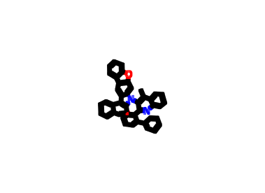 Cc1c(-n2c3cc4oc5ccccc5c4cc3c3c4ccccc4ccc32)c(-c2ccccc2-c2ccccc2)nc2ccccc12